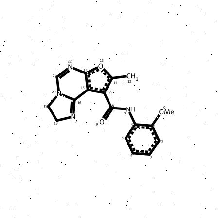 COc1ccccc1NC(=O)c1c(C)oc2c1C1=NCCN1C=N2